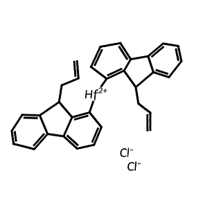 C=CCC1c2ccccc2-c2ccc[c]([Hf+2][c]3cccc4c3C(CC=C)c3ccccc3-4)c21.[Cl-].[Cl-]